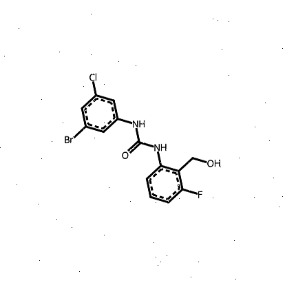 O=C(Nc1cc(Cl)cc(Br)c1)Nc1cccc(F)c1CO